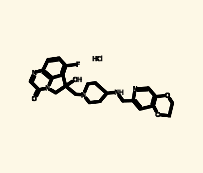 Cl.O=c1cnc2ccc(F)c3c2n1CC3(O)CN1CCC(NCc2cc3c(cn2)OCCO3)CC1